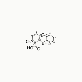 O=C(O)c1c(Cl)ccc2c1Cc1ccccc1O2